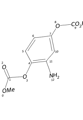 COC(=O)Oc1ccc(OC(=O)O)cc1N